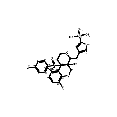 C[Si](C)(C)c1cc(C[C@@H]2OCC[C@@]3(S(=O)(=O)c4ccc(Cl)cc4)c4c(F)ccc(F)c4OC[C@@H]23)no1